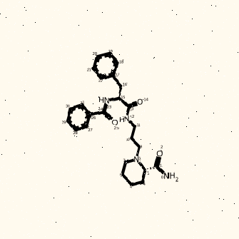 NC(=O)[C@@H]1CCCCN1CCCNC(=O)[C@H](Cc1ccccc1)NC(=O)c1ccccc1